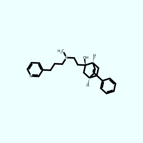 CN(CCCc1cccnc1)CC[C@@]1(O)C[C@@H]2CC[C@H]1C=C2c1ccccc1